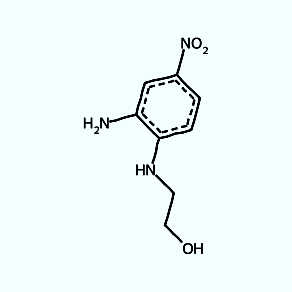 Nc1cc([N+](=O)[O-])ccc1NCCO